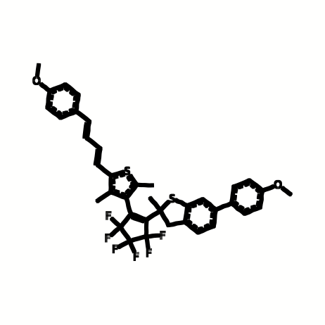 COc1ccc(/C=C/C=C/c2sc(C)c(C3=C(C4(C)Cc5ccc(-c6ccc(OC)cc6)cc5S4)C(F)(F)C(F)(F)C3(F)F)c2C)cc1